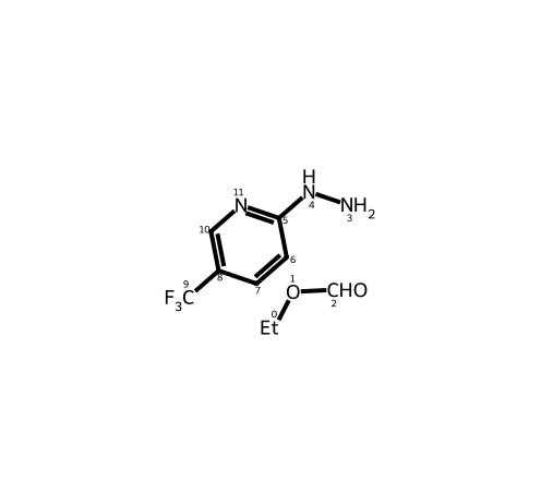 CCOC=O.NNc1ccc(C(F)(F)F)cn1